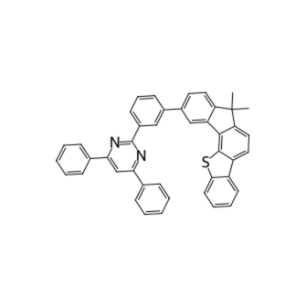 CC1(C)c2ccc(-c3cccc(-c4nc(-c5ccccc5)cc(-c5ccccc5)n4)c3)cc2-c2c1ccc1c2sc2ccccc21